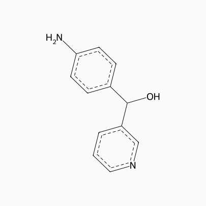 Nc1ccc(C(O)c2cccnc2)cc1